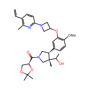 C=Cc1ccc(N2CC(Oc3cc([C@@H]4CN(C(=O)[C@@H]5COC(C)(C)O5)C[C@@]4(C)C(C)O)ccc3OC)C2)nc1C